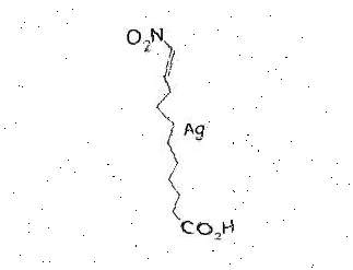 O=C(O)CCCCCCCCC=C[N+](=O)[O-].[Ag]